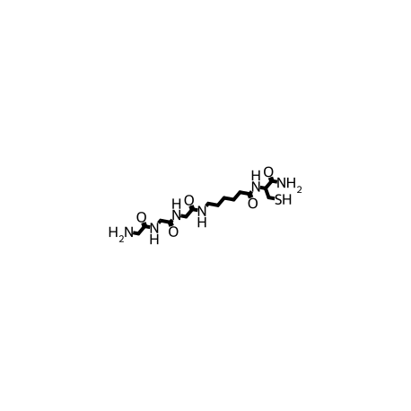 NCC(=O)NCC(=O)NCC(=O)NCCCCCC(=O)NC(CS)C(N)=O